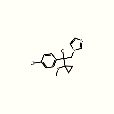 CSC1(C(O)(Cn2ccnc2)c2ccc(Cl)cc2)CC1